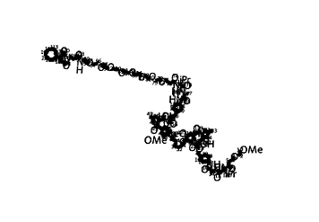 COCCOCCC(=O)N[C@H](C(=O)N[C@@H](C)C(=O)Nc1ccc(COC(=O)N2c3cc(OCCCCCOc4cc5c(cc4OC)C(=O)N4C=C(C)C[C@H]4[C@H](O)N5C(=O)OCc4ccc(NC(=O)[C@H](C)NC(=O)[C@@H](NC(=O)CCOCCOCCOCCOCCOCCOCCOCCOCCNC(=O)CCN5C(=O)CC(C6CCCCCCC6)C5=O)C(C)C)cc4)c(OC)cc3C(=O)N3C=C(C)C[C@H]3[C@@H]2O)cc1)C(C)C